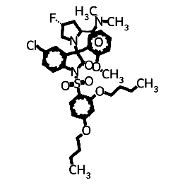 CCCCOc1ccc(S(=O)(=O)N2C(=O)C(c3ccccc3OC)(N3C[C@H](F)C[C@H]3C(=O)N(C)C)c3cc(Cl)ccc32)c(OCCCC)c1